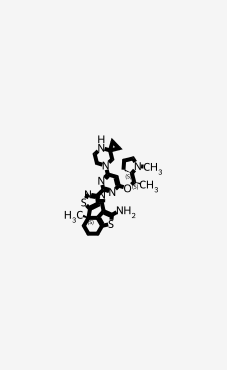 C[C@H](Oc1cc(N2CCNC3(CC3)C2)nc(-c2cc([C@@]3(C)CCCc4sc(N)c(C#N)c43)sn2)n1)[C@@H]1CCCN1C